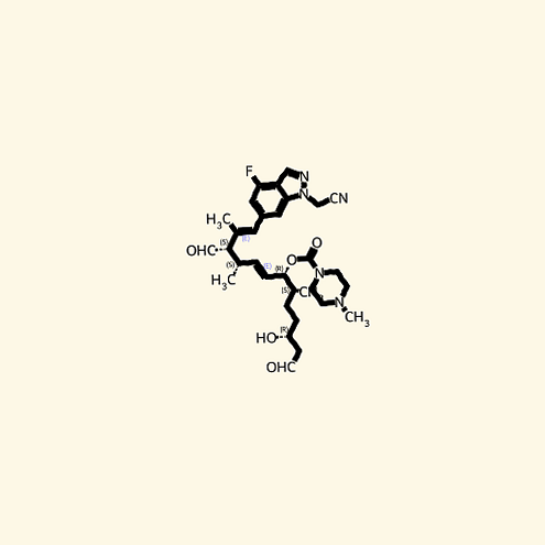 C/C(=C\c1cc(F)c2cnn(CC#N)c2c1)[C@@H](C=O)[C@@H](C)/C=C/[C@H](OC(=O)N1CCN(C)CC1)[C@@H](C)CC[C@@H](O)CC=O